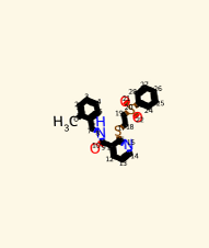 Cc1ccccc1CNC(=O)c1cccnc1SCCS(=O)(=O)c1ccccc1